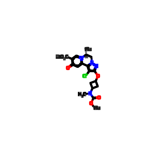 CCOC(=O)c1cn2c(cc1=O)-c1c(Cl)c(OC3CC(N(C)C(=O)OC(C)(C)C)C3)nn1C[C@H]2C(C)(C)C